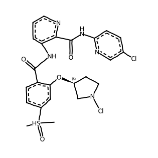 C[SH](C)(=O)c1ccc(C(=O)Nc2cccnc2C(=O)Nc2ccc(Cl)cn2)c(O[C@H]2CCN(Cl)C2)c1